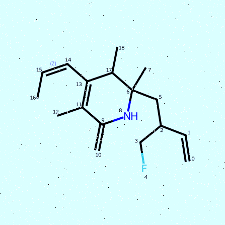 C=CC(CF)CC1(C)NC(=C)C(C)=C(/C=C\C)C1C